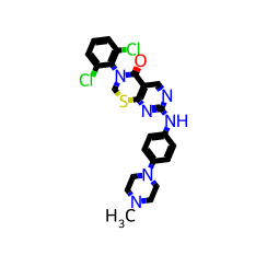 CN1CCN(c2ccc(Nc3ncc4c(n3)SCN(c3c(Cl)cccc3Cl)C4=O)cc2)CC1